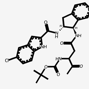 CC(=O)C(CC(=O)N[C@@H]1c2ccccc2C[C@H]1NC(=O)c1cc2cc(Cl)ccc2[nH]1)NC(=O)OC(C)(C)C